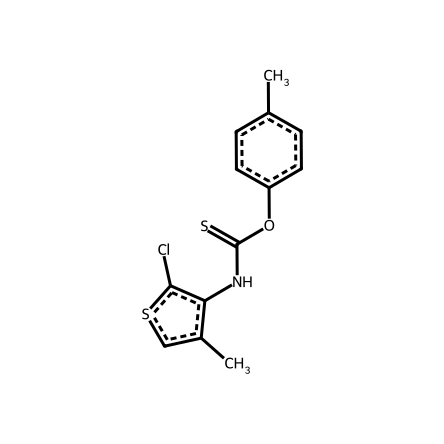 Cc1ccc(OC(=S)Nc2c(C)csc2Cl)cc1